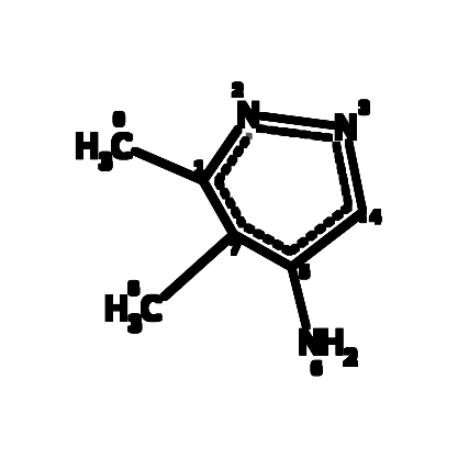 Cc1nn[c]c(N)c1C